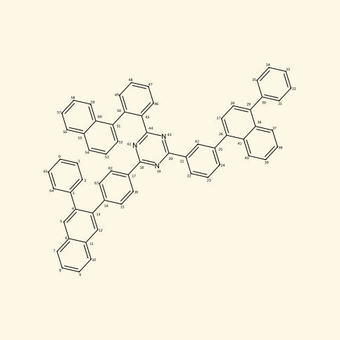 c1ccc(-c2cc3ccccc3cc2-c2ccc(-c3nc(-c4cccc(-c5ccc(-c6ccccc6)c6ccccc56)c4)nc(-c4ccccc4-c4cccc5ccccc45)n3)cc2)cc1